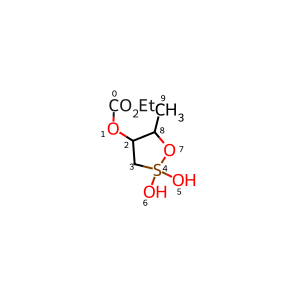 CCOC(=O)OC1CS(O)(O)OC1C